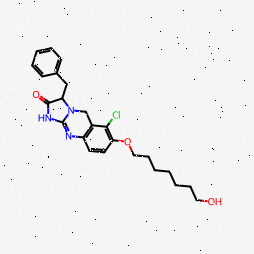 O=C1NC2=Nc3ccc(OCCCCCCCO)c(Cl)c3CN2C1Cc1ccccc1